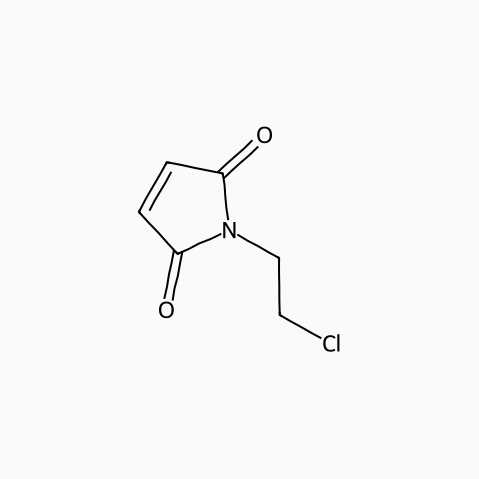 O=C1C=CC(=O)N1CCCl